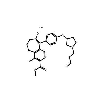 Br.COC(=O)c1ccc2c(c1F)CCCC(Br)=C2c1ccc(O[C@H]2CCN(CCCF)C2)cc1